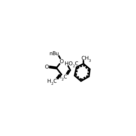 C=CC(=O)O.C=CC(=O)OCCCC.Cc1ccccc1